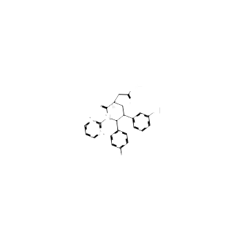 C[C@]1(CC(=O)O)CC(c2cccc(Cl)c2)C(c2ccc(Cl)cc2)N(c2ncccn2)C1=O